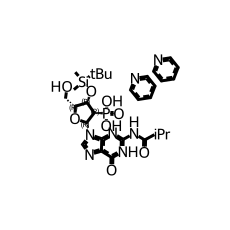 CC(C)C(=O)Nc1nc2c(ncn2[C@@H]2O[C@H](CO)[C@@H](O[Si](C)(C)C(C)(C)C)[C@H]2P(=O)(O)O)c(=O)[nH]1.c1ccncc1.c1ccncc1